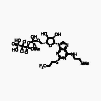 COP(=O)(OP(=O)(O)OC[C@H]1O[C@@H](n2cnc3c(NCCSC)nc(SCCC(F)(F)F)nc32)[C@H](O)[C@@H]1O)C(Cl)(Cl)P(=O)(O)O